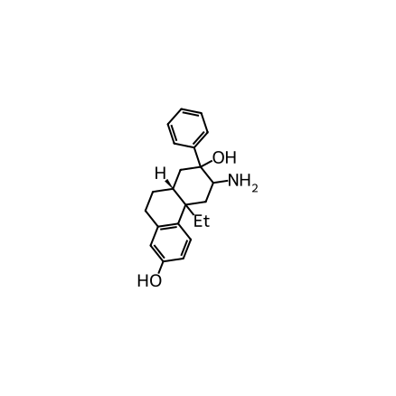 CCC12CC(N)C(O)(c3ccccc3)C[C@H]1CCc1cc(O)ccc12